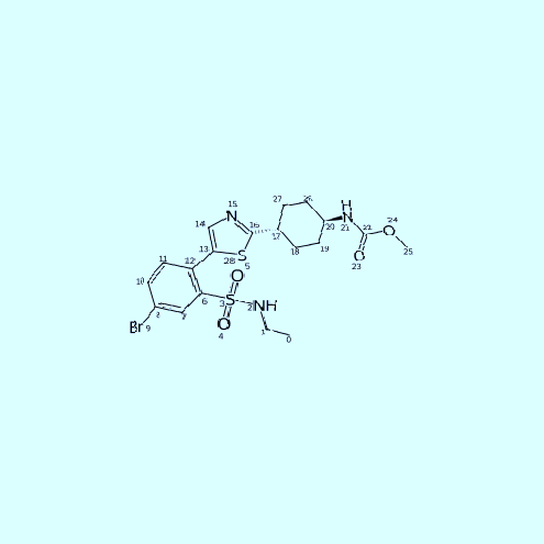 CCNS(=O)(=O)c1cc(Br)ccc1-c1cnc([C@H]2CC[C@H](NC(=O)OC)CC2)s1